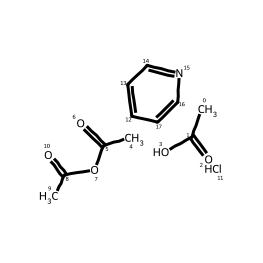 CC(=O)O.CC(=O)OC(C)=O.Cl.c1ccncc1